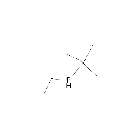 [CH]CPC(C)(C)C